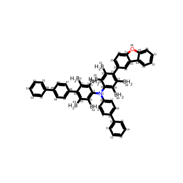 Bc1c(B)c(N(c2ccc(-c3ccccc3)cc2)c2c(B)c(B)c(-c3ccc4oc5ccccc5c4c3)c(B)c2B)c(B)c(B)c1-c1ccc(-c2ccccc2)cc1